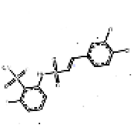 NS(=O)(=O)c1c(F)cccc1NS(=O)(=O)/C=C/c1ccc(Cl)c(Cl)c1